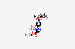 CCOC(=O)c1cnn(C2CCN(C(=O)OC(C)(C)C)CC2O)c1N